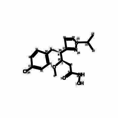 CO[C@H](CC(=O)NO)[C@H](Cc1ccc(Cl)cc1)c1ccn(C(C)C)n1